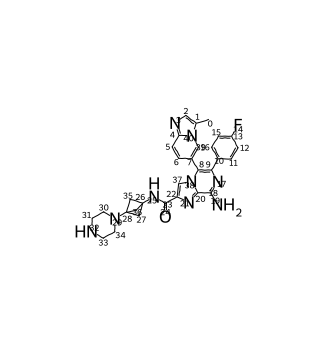 Cc1cnc2ccc(-c3c(-c4ccc(F)cc4)nc(N)c4nc(C(=O)NC56CC(N7CCNCC7)(C5)C6)cn34)cn12